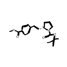 COC(=O)c1ccc(C=C[C@@H]2CCCN2C(=O)OC(C)(C)C)cc1